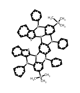 C[Si](C)(C)c1cc2c3c(c1)N(c1ccccc1)c1c(sc4ccccc14)B3c1cc3c(cc1N2c1ccccc1)N(c1ccccc1)c1cc([Si](C)(C)C)cc2c1B3c1sc3ccccc3c1N2c1ccccc1